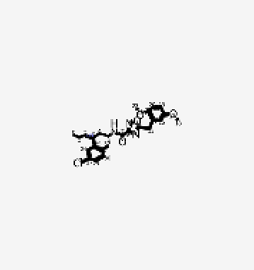 CC/C=C(/CCNC(=O)c1noc(Cc2cc(OC)ccc2OC)n1)c1cc(Cl)ccc1C